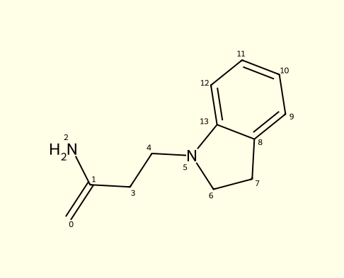 C=C(N)CCN1CCc2ccccc21